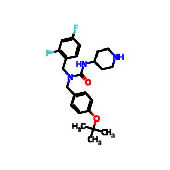 CC(C)(C)Oc1ccc(CN(Cc2ccc(F)cc2F)C(=O)NC2CCNCC2)cc1